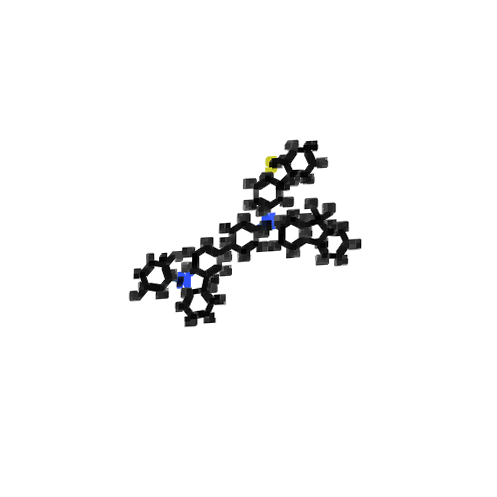 Cc1ccc(C)c(-n2c3ccccc3c3cc(-c4ccc(N(c5ccc6c(c5)C(C)(C)c5ccccc5-6)c5ccc6sc7ccccc7c6c5)cc4)ccc32)c1